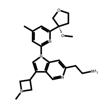 CO[C@@]1(c2cc(C)cc(-n3cc(C4CN(C)C4)c4cnc(CCN)cc43)n2)CCOC1